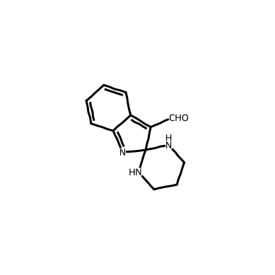 O=CC1=c2ccccc2=NC12NCCCN2